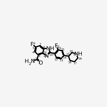 NC(=O)c1cc(F)cc2[nH]c(-c3ccc(C4CCCNC4)cc3F)nc12